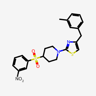 Cc1cccc(Cc2csc(N3CCC(S(=O)(=O)c4cccc([N+](=O)[O-])c4)CC3)n2)c1